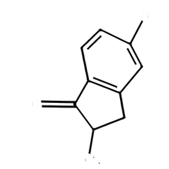 N#CC1Cc2cc(Br)ccc2C1=O